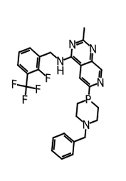 Cc1nc(NCc2cccc(C(F)(F)F)c2F)c2cc(P3CCN(Cc4ccccc4)CC3)ncc2n1